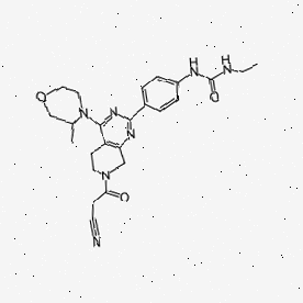 CCNC(=O)Nc1ccc(-c2nc3c(c(N4CCOCC4C)n2)CCN(C(=O)CC#N)C3)cc1